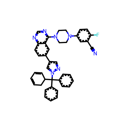 N#Cc1cc(N2CCN(c3ncnc4ccc(-c5cnn(C(c6ccccc6)(c6ccccc6)C6C=CC=CC6)c5)cc34)CC2)ccc1F